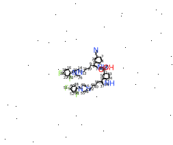 N#Cc1ccc2[nH]cc(CCCCN3CCN(c4ccc(F)cc4F)CC3)c2c1.O=C(O)c1ccc2[nH]cc(CCCCN3CCN(c4ccc(F)cc4F)CC3)c2c1